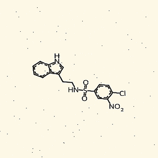 O=[N+]([O-])c1cc(S(=O)(=O)NCCc2c[nH]c3ccccc23)ccc1Cl